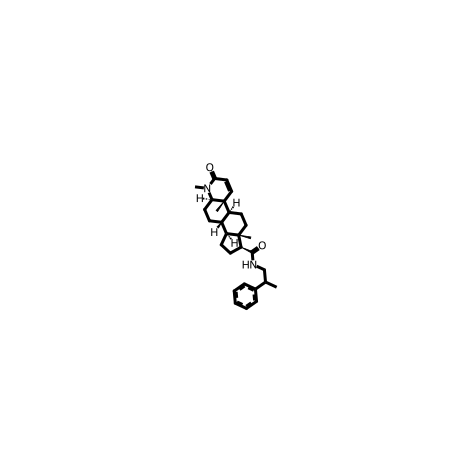 CC(CNC(=O)[C@H]1CC[C@H]2[C@@H]3CC[C@H]4N(C)C(=O)C=C[C@]4(C)[C@H]3CC[C@]12C)c1ccccc1